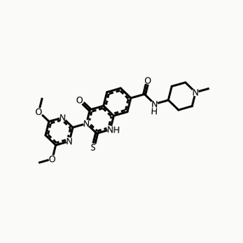 COc1cc(OC)nc(-n2c(=S)[nH]c3cc(C(=O)NC4CCN(C)CC4)ccc3c2=O)n1